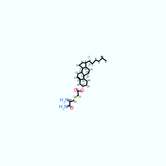 CC(C)CCC[C@@H](C)C1CCC2C3CC=C4C[C@@H](OC(=O)CSCC(N)C(N)=O)CC[C@]4(C)C3CC[C@@]21C